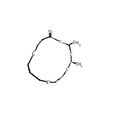 CC1CC(=O)CCCCCCCCCC[C@H](C)C1